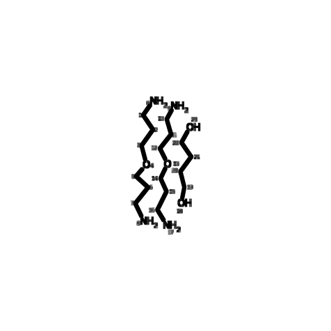 NCCCOCCCN.NCCCOCCCN.OCCCCO